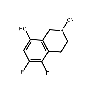 N#CB1CCc2c(F)c(F)cc(O)c2C1